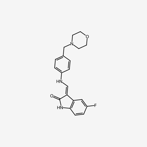 O=C1Nc2ccc(F)cc2/C1=C/Nc1ccc(CN2CCOCC2)cc1